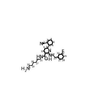 N#Cc1ccccc1-c1ccc(C(=O)NCCCCCCN)c(NCCc2cccc(F)c2)n1